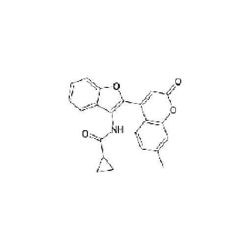 Cc1ccc2c(-c3oc4ccccc4c3NC(=O)C3CC3)cc(=O)oc2c1